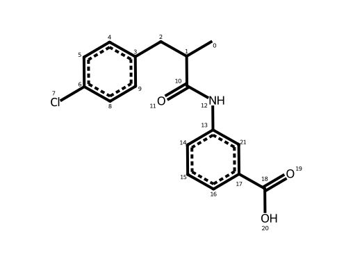 CC(Cc1ccc(Cl)cc1)C(=O)Nc1cccc(C(=O)O)c1